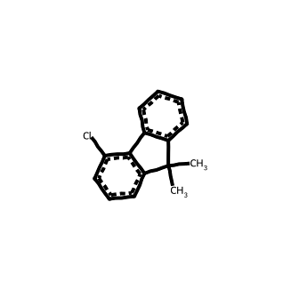 CC1(C)c2ccccc2-c2c(Cl)cccc21